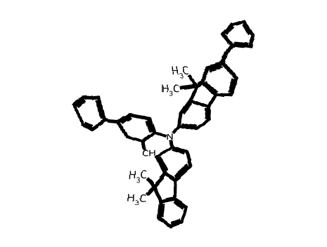 CC1CC(c2ccccc2)=CC=C1N(c1ccc2c(c1)C(C)(C)c1ccccc1-2)c1ccc2c(c1)C(C)(C)c1cc(-c3ccccc3)ccc1-2